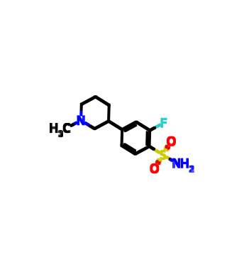 CN1CCCC(c2ccc(S(N)(=O)=O)c(F)c2)C1